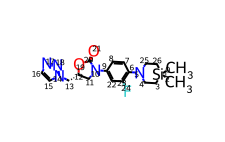 C[Si]1(C)CCN(c2ccc(N3C[C@H](Cn4ccnn4)OC3=O)cc2F)CC1